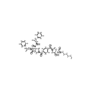 CCCCCCNC(=O)[C@H]1CN(C(=O)c2ccc(C(=O)N3C[C@@H](C(=O)N[C@H]4C[C@@H]4c4ccccc4)[C@H](C(=O)N[C@H]4C[C@@H]4c4ccccc4)C3)cc2)C[C@H]1O